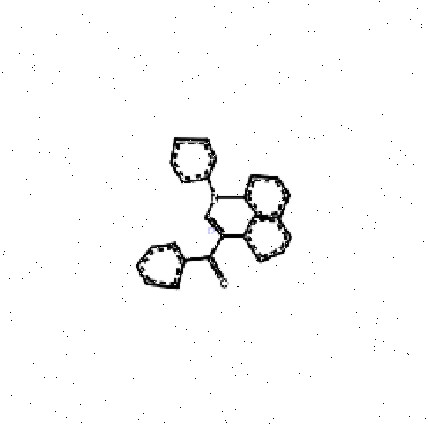 O=C(/C(=C/N(c1ccccc1)c1ccccc1)c1ccccc1)c1ccccc1